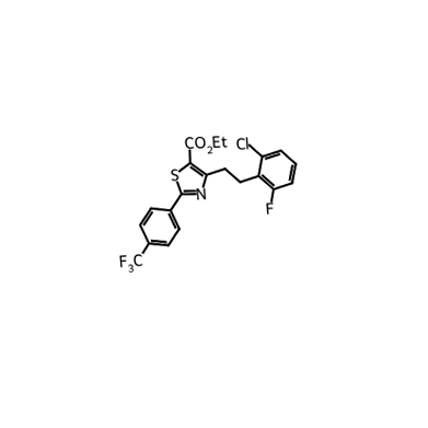 CCOC(=O)c1sc(-c2ccc(C(F)(F)F)cc2)nc1CCc1c(F)cccc1Cl